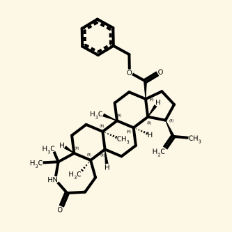 C=C(C)[C@@H]1CC[C@@]2(C(=O)OCc3ccccc3)CC[C@]3(C)[C@H](CC[C@@H]4[C@@]5(C)CCC(=O)NC(C)(C)[C@@H]5CC[C@]43C)[C@@H]12